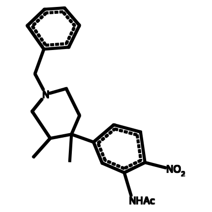 CC(=O)Nc1cc(C2(C)CCN(Cc3ccccc3)CC2C)ccc1[N+](=O)[O-]